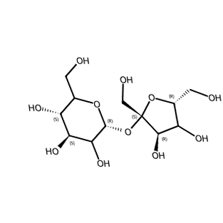 OCC1O[C@H](O[C@]2(CO)O[C@H](CO)C(O)[C@H]2O)C(O)[C@@H](O)[C@@H]1O